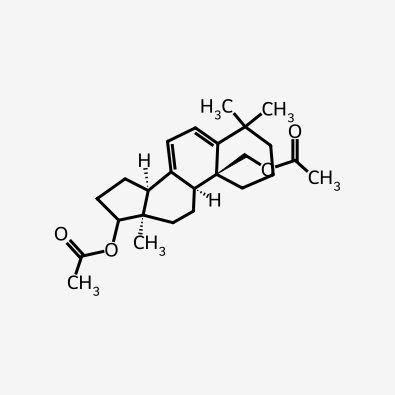 CC(=O)OC[C@]12CCCC(C)(C)C1=CC=C1[C@@H]2CC[C@@]2(C)C(OC(C)=O)CC[C@@H]12